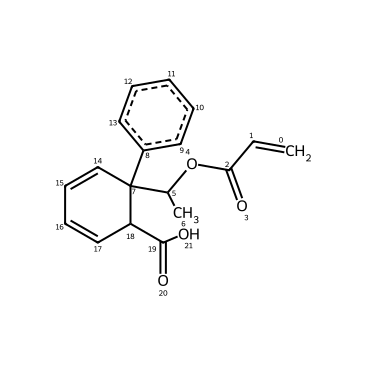 C=CC(=O)OC(C)C1(c2ccccc2)C=CC=CC1C(=O)O